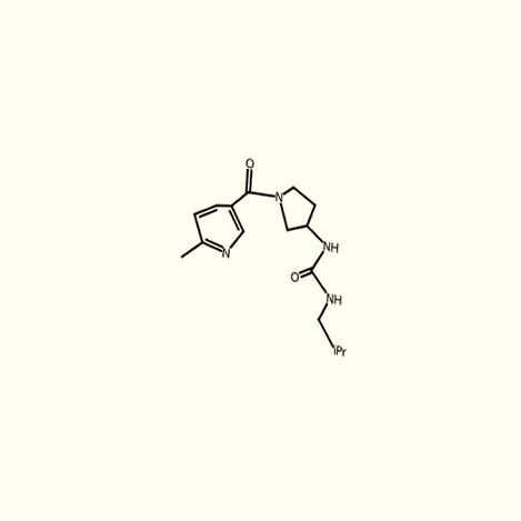 Cc1ccc(C(=O)N2CCC(NC(=O)NCC(C)C)C2)cn1